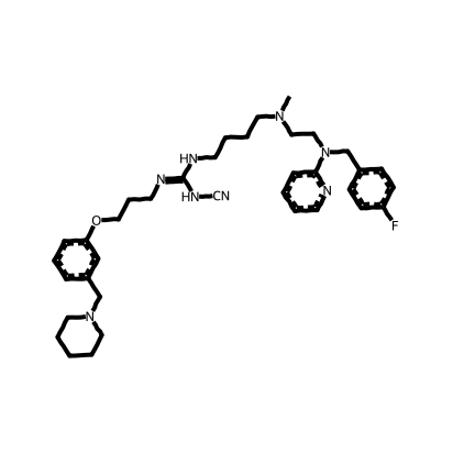 CN(CCCCN/C(=N/CCCOc1cccc(CN2CCCCC2)c1)NC#N)CCN(Cc1ccc(F)cc1)c1ccccn1